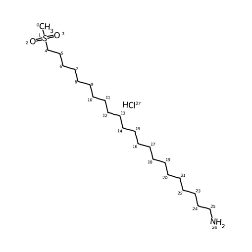 CS(=O)(=O)CCCCCCCCCCCCCCCCCCCCCCN.Cl